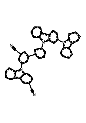 N#Cc1cc(-c2cccc(-n3c4ccccc4c4ccc(-n5c6ccccc6c6ccccc65)cc43)c2)cc(-n2c3ccccc3c3cc(C#N)ccc32)c1